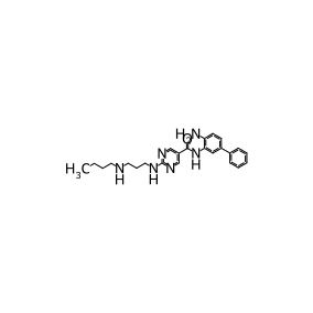 CCCCNCCCNc1ncc(C(=O)Nc2cc(-c3ccccc3)ccc2N)cn1